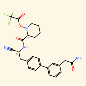 N#C[C@H](Cc1ccc(-c2cccc(CC(N)=O)c2)cc1)NC(=O)[C@@H]1CCCCN1OC(=O)C(F)(F)F